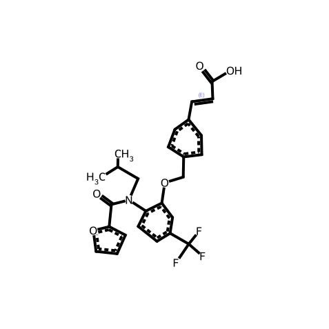 CC(C)CN(C(=O)c1ccco1)c1ccc(C(F)(F)F)cc1OCc1ccc(/C=C/C(=O)O)cc1